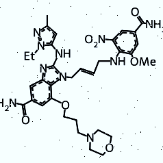 CCn1nc(C)cc1Nc1nc2cc(C(N)=O)cc(OCCCN3CCOCC3)c2n1C/C=C/CNc1c(OC)cc(C(N)=O)cc1[N+](=O)[O-]